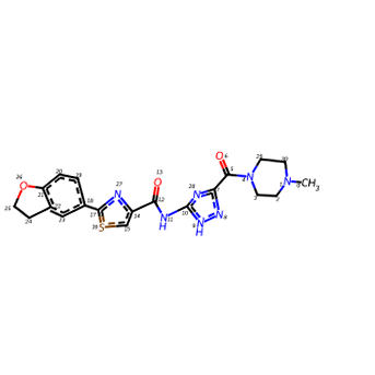 CN1CCN(C(=O)c2n[nH]c(NC(=O)c3csc(-c4ccc5c(c4)CCO5)n3)n2)CC1